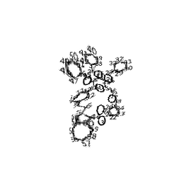 COC(=O)c1c(CCc2cccc([C@@H]3O[C@H](COCc4ccccc4)[C@@H](OCc4ccccc4)[C@H](OCc4ccccc4)[C@H]3OCc3ccccc3)c2)cc2cccccc1-2